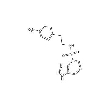 O=[N+]([O-])c1ccc(CCNS(=O)(=O)c2cccc3[nH]nnc23)cc1